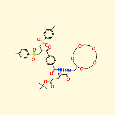 Cc1ccc(S(=O)(=O)CC(CS(=O)(=O)c2ccc(C)cc2)C(=O)c2ccc(C(=O)N[C@H](CCC(=O)OC(C)(C)C)C(=O)NCC3COCCOCCOCCOCCO3)cc2)cc1